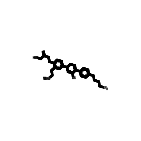 C=C(CO)CCc1ccc(C2C=C(CC)C(c3ccc(CCCCC(F)(F)F)cc3)=CC2)cc1CCOC